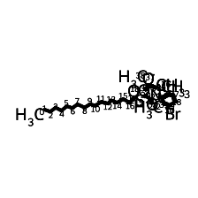 CCCCCCCCCCCCCCCCCC(=O)SCC(=O)N(c1c(C)ccc(Br)c1C)C(C)C(=O)OC